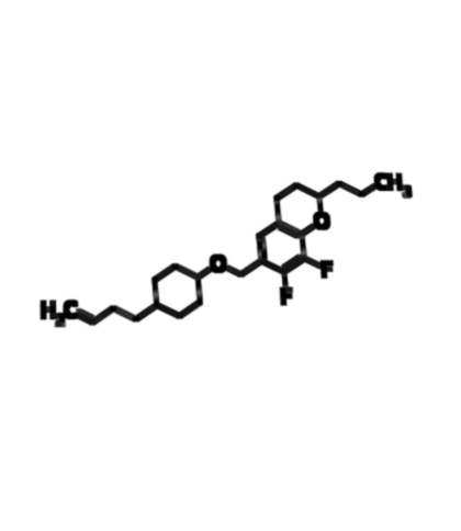 C=CCCC1CCC(OCc2cc3c(c(F)c2F)OC(CCC)CC3)CC1